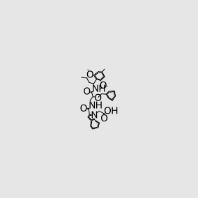 CCCC(NC(=O)C(CNC(=O)c1cc2ccccc2n1CC(=O)O)OCc1ccccc1)c1c(OC)cc(C)cc1OC